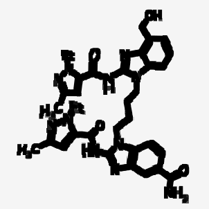 CCn1nc(C)cc1C(=O)Nc1nc2cc(C(N)=O)ccc2n1CCCCn1c(NC(=O)c2cc(C)nn2CC)nc2c(CO)cccc21